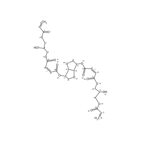 C=CC(=O)OCC(O)COC(=O)/C=C\C(=O)OC1COC2C(OC(=O)/C=C\C(=O)OCC(O)COC(=O)C=C)COC12